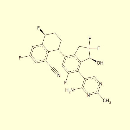 Cc1ncc(-c2c(F)cc([C@H]3CC[C@H](F)c4cc(F)cc(C#N)c43)c3c2[C@H](O)C(F)(F)C3)c(N)n1